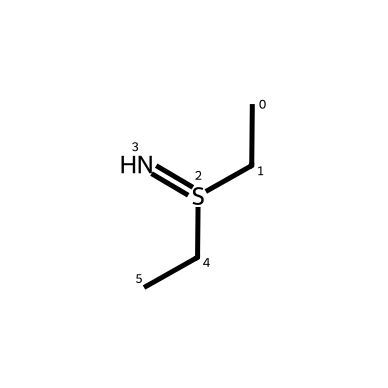 CCS(=N)CC